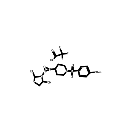 CCC1SCC(C#N)N1n1on1C1CCN(S(=O)(=O)c2ccc(OC)cc2)CC1.O=C(O)C(F)(F)F